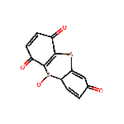 O=C1C=CC2C(=C1)SC1=C(C(=O)C=CC1=O)[S+]2[O-]